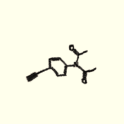 C#Cc1ccc(N(C(C)=O)C(C)=O)cc1